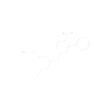 CCCCC(CCC)Oc1ccc(O)c(-c2ccccc2O)c1